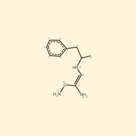 CC(Cc1ccccc1)N/C=C(/N)ON